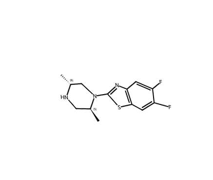 C[C@@H]1CN(c2nc3cc(F)c(F)cc3s2)[C@@H](C)CN1